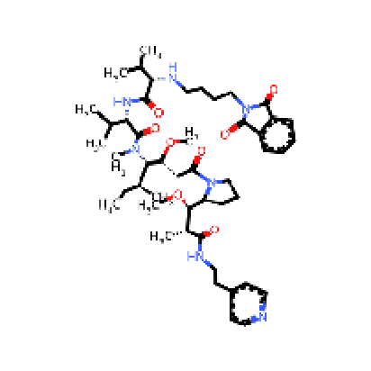 CC[C@H](C)[C@@H]([C@@H](CC(=O)N1CCC[C@H]1[C@H](OC)[C@@H](C)C(=O)NCCc1ccncc1)OC)N(C)C(=O)[C@@H](NC(=O)[C@@H](NCCCCN1C(=O)c2ccccc2C1=O)C(C)C)C(C)C